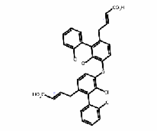 O=C(O)/C=C/Cc1ccc(Sc2ccc(C/C=C/C(=O)O)c(-c3ccccc3Cl)c2Cl)c(Cl)c1-c1ccccc1Cl